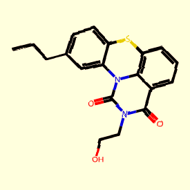 CCCc1ccc2c(c1)-n1c(=O)n(CCO)c(=O)c3cccc(c31)S2